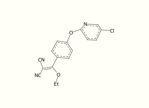 CCOC(=C(C#N)C#N)c1ccc(Oc2ccc(Cl)cn2)cc1